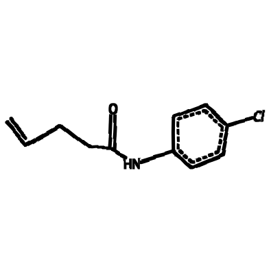 C=CCCC(=O)Nc1ccc(Cl)cc1